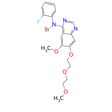 COCCOCCOc1cc2ncnc(N(Br)c3ccccc3F)c2cc1OC